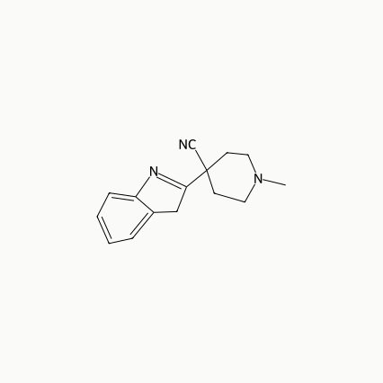 CN1CCC(C#N)(C2=Nc3ccccc3C2)CC1